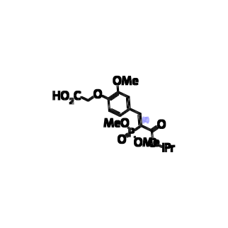 COc1cc(/C=C(/C(=O)OC(C)C)P(=O)(OC)OC)ccc1OCC(=O)O